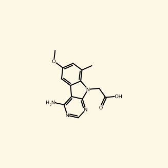 COc1cc(C)c2c(c1)c1c(N)ncnc1n2CC(=O)O